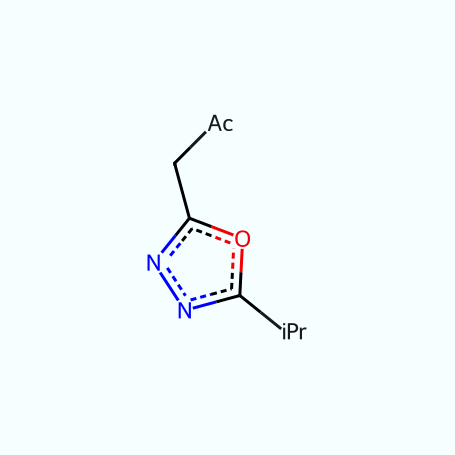 CC(=O)Cc1nnc(C(C)C)o1